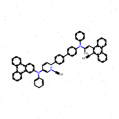 C#CN/C=C(\C=C/Cc1ccc(-c2ccc(N(/C(C)=C/c3c(C#C)c4ccccc4c4ccccc34)c3ccccc3)cc2)cc1)N(C1=CCCC=C1)c1ccc2c3ccccc3c3ccccc3c2c1